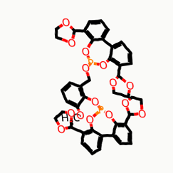 COc1cccc(COp2oc3c(C4OCCO4)cccc3c3cccc(C4OCCO4)c3o2)c1Op1oc2c(C3OCCO3)cccc2c2cccc(C3OCCO3)c2o1